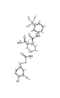 O=C(COc1ccc(Cl)c(F)c1)N[C@H]1CC[C@H](C(=O)Nc2ccnc(C(F)(F)F)n2)N(C(=O)O)C1